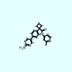 Cc1cc(NC(=O)C2(c3ccc(-c4cnc(N)nc4)cc3)CCC2)ccn1